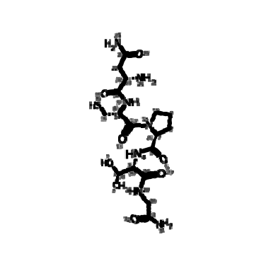 C[C@@H](O)[C@H](NC(=O)[C@@H]1CCCN1C(=O)[C@H](CS)NC(=O)[C@@H](N)CC(N)=O)C(=O)NCC(N)=O